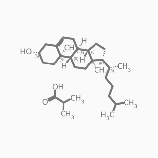 CC(C)C(=O)O.CC(C)CCC[C@@H](C)[C@H]1CC[C@H]2[C@@H]3CC=C4C[C@@H](O)CC[C@]4(C)[C@H]3CC[C@]12C